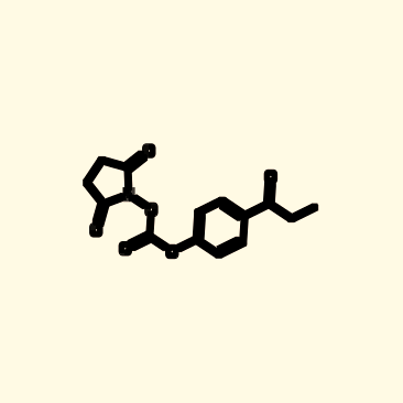 CCC(=O)c1ccc(OC(=O)ON2C(=O)CCC2=O)cc1